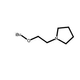 CCC(C)OCCN1CCCC1